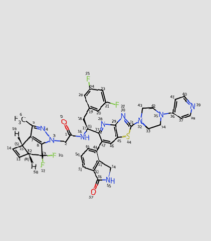 O=C(Cn1nc(C(F)(F)F)c2c1C(F)(F)[C@@H]1C=C[C@H]21)N[C@@H](Cc1cc(F)cc(F)c1)c1nc2nc(N3CCN(c4ccncc4)CC3)sc2cc1-c1cccc2c1CNC2=O